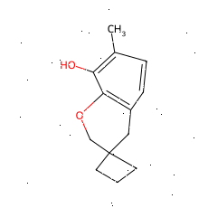 Cc1ccc2c(c1O)OCC1(CCC1)C2